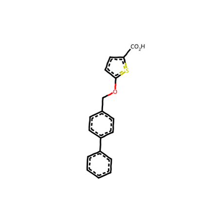 O=C(O)c1ccc(OCc2ccc(-c3ccccc3)cc2)s1